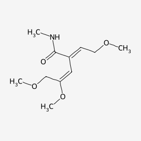 CNC(=O)C(/C=C(\COC)OC)=C/COC